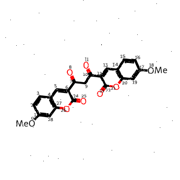 COc1ccc2cc(C(=O)CC(=O)c3cc4ccc(OC)cc4oc3=O)c(=O)oc2c1